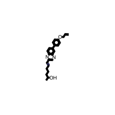 C=CCOc1ccc(-c2ccc3nc(/C=C/CCCC(C)O)cnc3c2)cc1